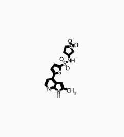 Cc1cc2c(-c3ccc(S(=O)(=O)NC4CCS(=O)(=O)C4)s3)ccnc2[nH]1